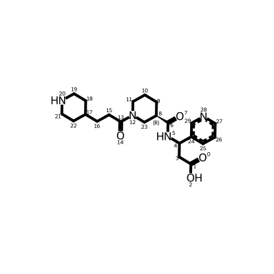 O=C(O)CC(NC(=O)[C@@H]1CCCN(C(=O)CCC2CCNCC2)C1)c1cccnc1